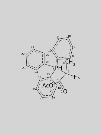 CC(=O)OC(=O)C(C)(F)[PH](c1ccccc1)(c1ccccc1)c1ccccc1